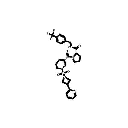 O=C(NCc1ccc(C(F)(F)F)cc1)[C@H]1CCCN1C(=O)[C@H]1CCCN(S(=O)(=O)N2CC(c3ccccn3)C2)C1